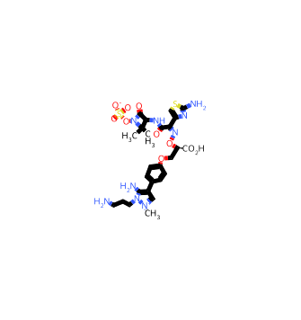 C[n+]1cc(-c2ccc(OC[C@H](O/N=C(\C(=O)NC3C(=O)N(OS(=O)(=O)[O-])C3(C)C)c3csc(N)n3)C(=O)O)cc2)c(N)n1CCCN